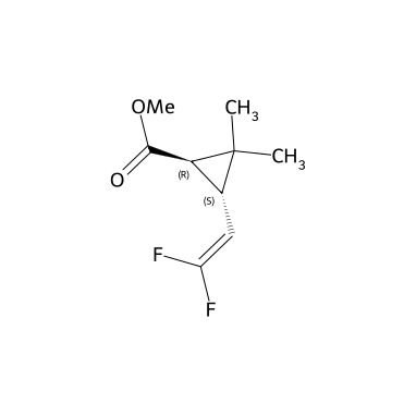 COC(=O)[C@@H]1[C@@H](C=C(F)F)C1(C)C